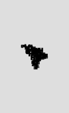 CCCC1CCC(CC(=O)N[C@@H](Cc2cc(F)cc(F)c2)[C@H](O)CNCc2cccc(CC)c2)CC1=O